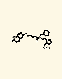 COCC1CCCN1CCN(CC1CCCCC1)C(=O)CCCCOc1ccc2[nH]c(=O)ccc2c1